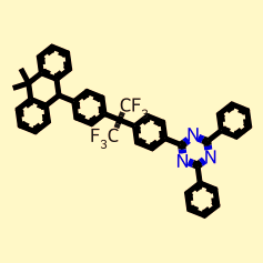 CC1(C)c2ccccc2C(c2ccc(C(c3ccc(-c4nc(-c5ccccc5)nc(-c5ccccc5)n4)cc3)(C(F)(F)F)C(F)(F)F)cc2)c2ccccc21